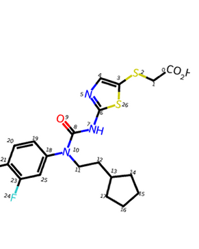 O=C(O)CSc1cnc(NC(=O)N(CCC2CCCC2)c2ccc(F)c(F)c2)s1